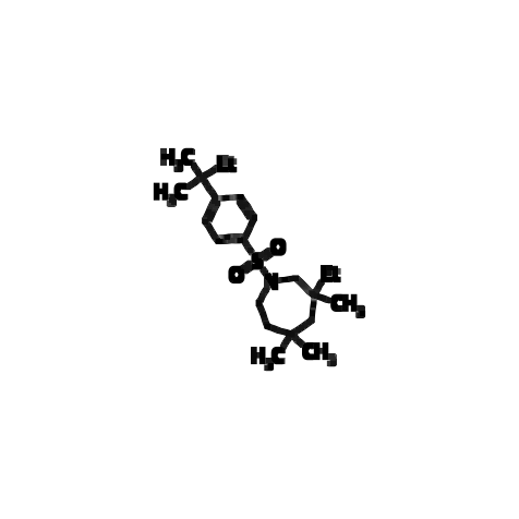 CCC1(C)CN(S(=O)(=O)c2ccc(C(C)(C)CC)cc2)CCC(C)(C)C1